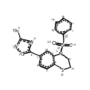 CC(C)(C)c1noc(-c2ccc3c(c2)N(S(=O)(=O)c2ccccc2)CCS3)n1